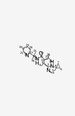 C=N/C(NC1(C)CC1)=C(\C)C(C(=O)NC(C)(C)c1ccccn1)=C(C)C